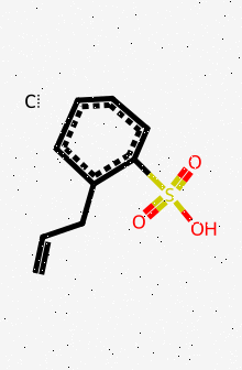 C=CCc1ccccc1S(=O)(=O)O.[C]